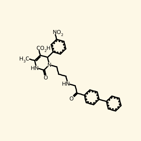 CC1=C(C(=O)O)C(c2cccc([N+](=O)[O-])c2)N(CCCNCC(=O)c2ccc(-c3ccccc3)cc2)C(=O)N1